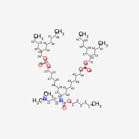 CCCCCCOC(=O)N(CCCN(C)C)C(CCCCCCCOC(=O)OCC(CCCC)CCCCCC)CCCCCCCOC(=O)OCC(CCCC)CCCCCC